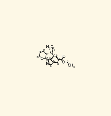 CCOC(=O)c1cc(OCC)c2c(cnn2C2CCCCO2)c1